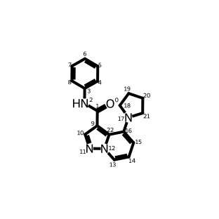 O=C(Nc1ccccc1)c1cnn2cccc(N3CCCC3)c12